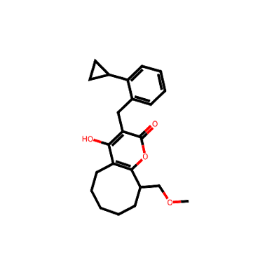 COCC1CCCCCc2c1oc(=O)c(Cc1ccccc1C1CC1)c2O